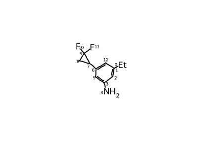 CCc1cc(N)cc(C2CC2(F)F)c1